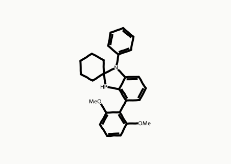 COc1cccc(OC)c1-c1cccc2c1PC1(CCCCC1)N2c1ccccc1